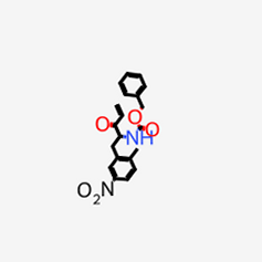 C=CC(=O)C(Cc1cc([N+](=O)[O-])ccc1C)NC(=O)OCc1ccccc1